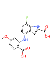 COc1ccc(C(=O)O)c(Nc2ccc(F)c3[nH]c(C(=O)O)cc23)c1